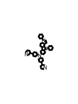 c1ccc(-n2ccc3c2ccc2c4cc(N(c5ccc(-c6cccnc6)cc5)c5ccc(-c6cccnc6)cc5)ccc4n(-c4ccccc4)c23)cc1